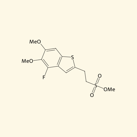 COc1cc2sc(CCS(=O)(=O)OC)cc2c(F)c1OC